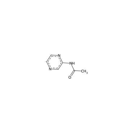 CC(=O)Nc1cn[c]cn1